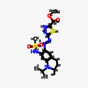 CCC(CC)N1c2cc(NS(=O)(=O)C(F)(F)F)c(N=Nc3nnc(C(=O)OC(C)(C)C)s3)cc2CCC1C